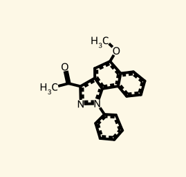 COc1cc2c(C(C)=O)nn(-c3ccccc3)c2c2ccccc12